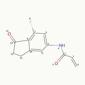 C=CC(=O)Nc1cc(F)c2c(c1)CCC2=O